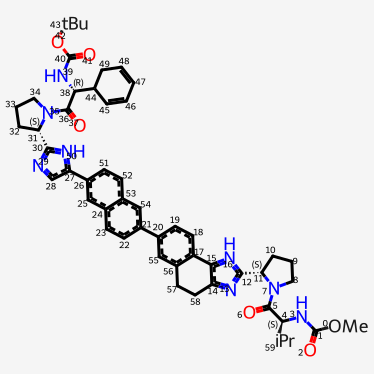 COC(=O)N[C@H](C(=O)N1CCC[C@H]1c1nc2c([nH]1)-c1ccc(-c3ccc4cc(-c5cnc([C@@H]6CCCN6C(=O)[C@H](NC(=O)OC(C)(C)C)C6C=CC=CC6)[nH]5)ccc4c3)cc1CC2)C(C)C